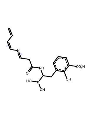 C=C/C=C\N=C\CC(=O)NC(Cc1cccc(C(=O)O)c1O)B(O)O